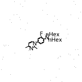 CCCCCCN(CCCCCC)c1ccc(N2C=CC(C)=NC2C)cc1F